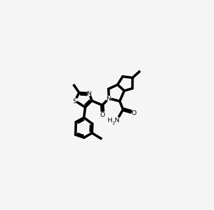 Cc1cccc(-c2sc(C)nc2C(=O)N2CC3CC(C)CC3C2C(N)=O)c1